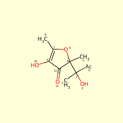 CC(=O)C(C)(O)C1(C)OC(C)=C(O)C1=O